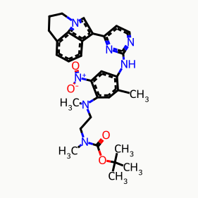 Cc1cc(N(C)CCN(C)C(=O)OC(C)(C)C)c([N+](=O)[O-])cc1Nc1nccc(-c2cn3c4c(cccc24)CCC3)n1